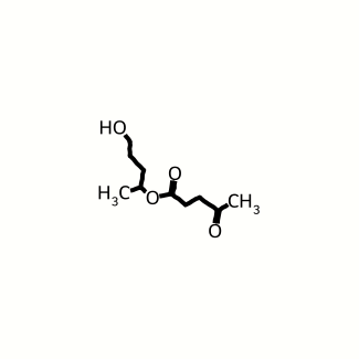 CC(=O)CCC(=O)OC(C)CCCO